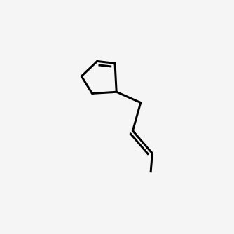 CC=CCC1C=CCC1